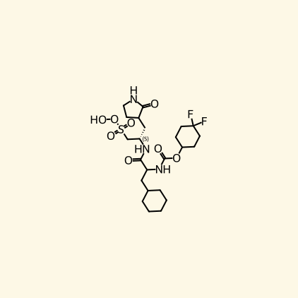 O=C(NC(CC1CCCCC1)C(=O)N[C@@H](CC1CCNC1=O)CS(=O)(=O)OO)OC1CCC(F)(F)CC1